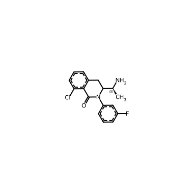 C[C@H](N)C1Cc2cccc(Cl)c2C(=O)N1c1cccc(F)c1